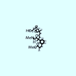 CNNC(=O)C(C)(CCCC(C)(C)CS(=O)(=O)CCO)c1cccc(C[C@@H](C)C(=O)OC)c1